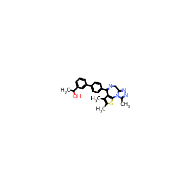 Cc1sc2c(c1C)C(c1ccc(-c3cccc(C(C)O)c3)cc1)=NCc1nnc(C)n1-2